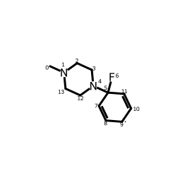 CN1CCN(C2(F)C=C[CH]C=C2)CC1